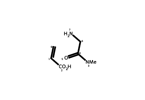 C=CC(=O)O.CNC(=O)CN